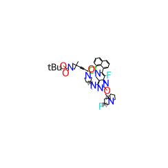 CN(c1nc(OC[C@@]23CCCN2C[C@H](F)C3)nc2c(F)c(-c3cccc4cccc(Cl)c34)ncc12)[C@@H]1CCN(C(=O)C#CC2(C)CN(C(=O)OC(C)(C)C)C2)C1